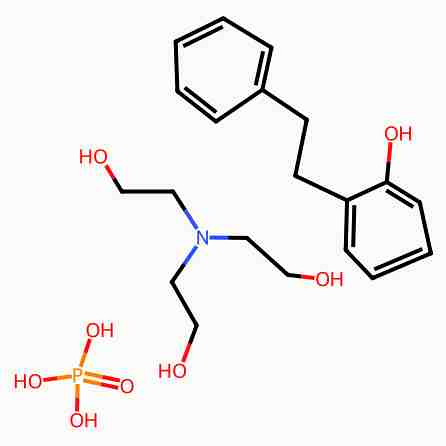 O=P(O)(O)O.OCCN(CCO)CCO.Oc1ccccc1CCc1ccccc1